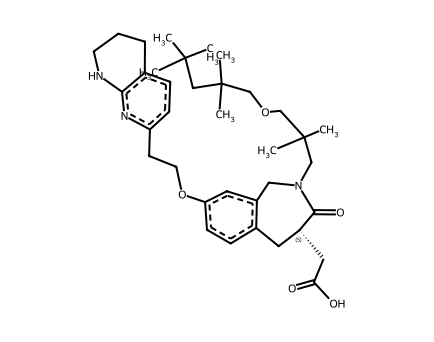 CC(C)(C)CC(C)(C)COCC(C)(C)CN1Cc2cc(OCCc3ccc4c(n3)NCCC4)ccc2C[C@@H](CC(=O)O)C1=O